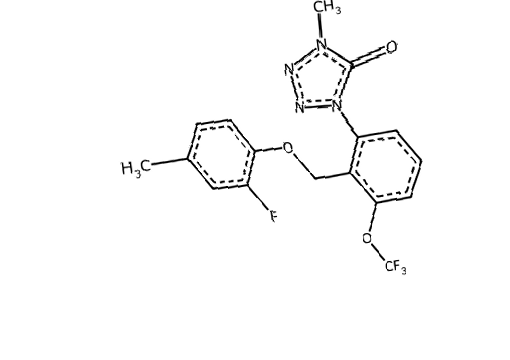 Cc1ccc(OCc2c(OC(F)(F)F)cccc2-n2nnn(C)c2=O)c(F)c1